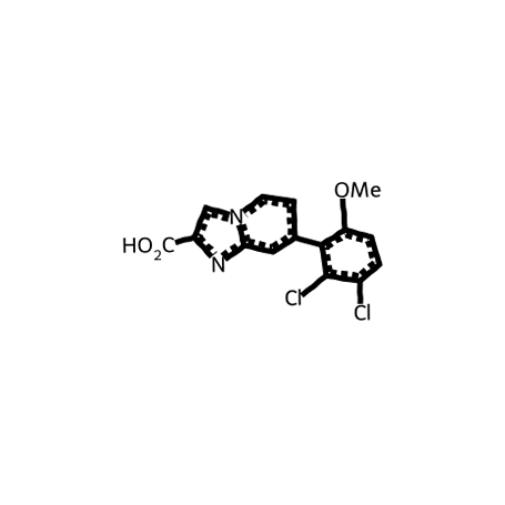 COc1ccc(Cl)c(Cl)c1-c1ccn2cc(C(=O)O)nc2c1